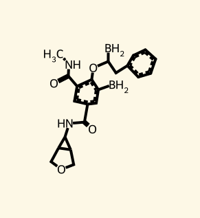 Bc1cc(C(=O)NC2C3COCC32)cc(C(=O)NC)c1OC(B)Cc1ccccc1